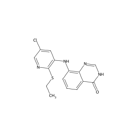 CCSc1ncc(Cl)cc1Nc1cccc2c(=O)[nH]cnc12